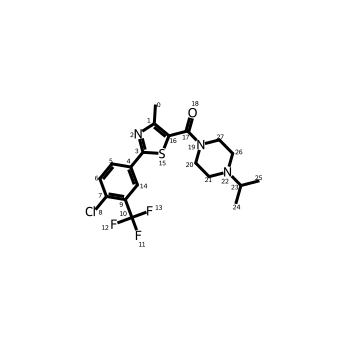 Cc1nc(-c2ccc(Cl)c(C(F)(F)F)c2)sc1C(=O)N1CCN(C(C)C)CC1